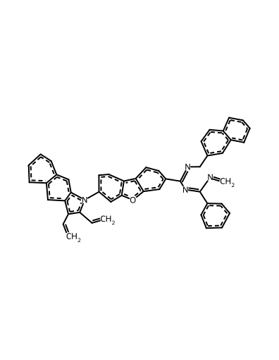 C=Cc1c(C=C)n(-c2ccc3c(c2)oc2cc(C(/N=C(\N=C)c4ccccc4)=N/Cc4ccc5ccccc5c4)ccc23)c2cc3ccccc3cc12